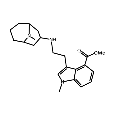 COC(=O)c1cccc2c1c(CCNC1CC3CCCC(C1)N3C)cn2C